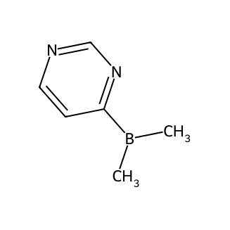 CB(C)c1ccncn1